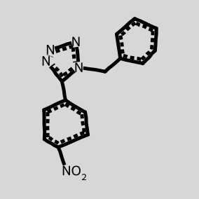 O=[N+]([O-])c1ccc(-c2nnnn2Cc2ccccc2)cc1